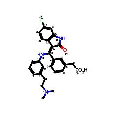 CN(C)CCc1cccc(NC(=C2C(=O)Nc3cc(F)ccc32)c2cccc(CC(=O)O)c2)c1